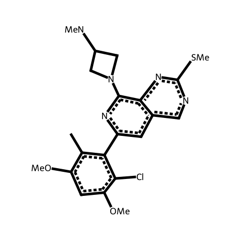 CNC1CN(c2nc(-c3c(C)c(OC)cc(OC)c3Cl)cc3cnc(SC)nc23)C1